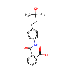 CC(C)(O)CCc1ccc(NC(=O)c2ccccc2C(=O)O)cc1